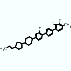 CCCC1CCC(C2CCC(c3ccc(-c4ccc(-c5ccc(C)c(F)c5F)cc4)c(F)c3)CC2)CC1